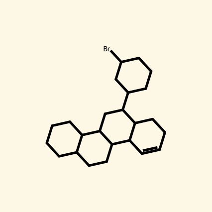 BrC1CCCC(C2CC3C4CCCCC4CCC3C3C=CCCC32)C1